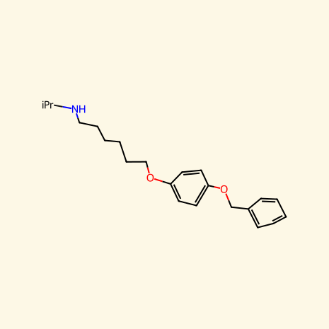 CC(C)NCCCCCCOc1ccc(OCc2ccccc2)cc1